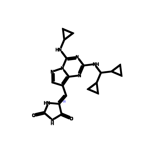 O=C1NC(=O)/C(=C/c2cnn3c(NC4CC4)nc(NC(C4CC4)C4CC4)nc23)N1